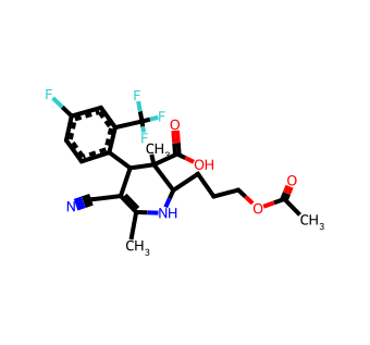 CC(=O)OCCCC1NC(C)=C(C#N)C(c2ccc(F)cc2C(F)(F)F)C1(C)C(=O)O